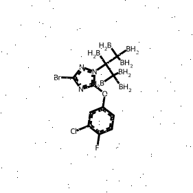 BC(B)(B)C(B)(n1nc(Br)nc1Oc1ccc(F)c(Cl)c1)C(B)(B)B